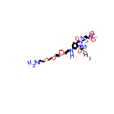 CC(=O)Nc1cc(NCCOCCOCCOCCN)ccc1C(=O)Nc1ncc([N+](=O)[O-])s1